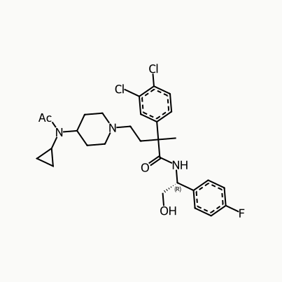 CC(=O)N(C1CC1)C1CCN(CCC(C)(C(=O)N[C@@H](CO)c2ccc(F)cc2)c2ccc(Cl)c(Cl)c2)CC1